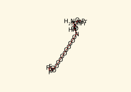 CCCN(CCC)C(=O)C1=Cc2sc(S(=O)(=O)NCCCN(C)CCOCCOCCOCCOCCOCCOCCOCCOCCOCCOCCC(=O)Oc3c(F)c(F)cc(F)c3F)cc2N=C(N)C1